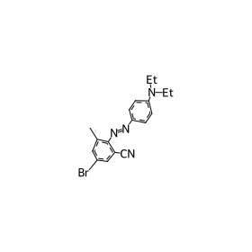 CCN(CC)c1ccc(N=Nc2c(C)cc(Br)cc2C#N)cc1